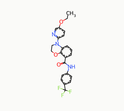 CCOc1ccc(N2CCOc3c(C(=O)Nc4ccc(C(F)(F)F)cc4)cccc32)nc1